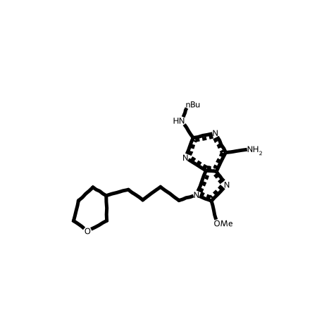 CCCCNc1nc(N)c2nc(OC)n(CCCCC3CCCOC3)c2n1